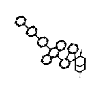 CC1CC2CC(I)C3(c4ccccc4-c4c(-c5c6ccccc6c(-c6ccc(-c7ccc(-c8ccccc8)cc7)cc6)c6ccccc56)cccc43)C(C1)C2